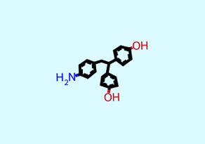 Nc1ccc(CC(c2ccc(O)cc2)c2ccc(O)cc2)cc1